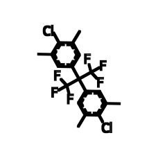 Cc1cc(C(c2cc(C)c(Cl)c(C)c2)(C(F)(F)F)C(F)(F)F)cc(C)c1Cl